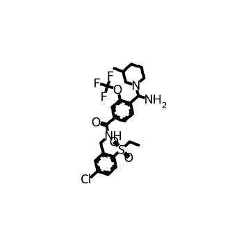 CCS(=O)(=O)c1ccc(Cl)cc1CNC(=O)c1ccc(C(N)N2CCCC(C)C2)c(OC(F)(F)F)c1